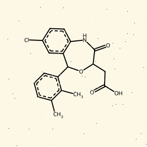 Cc1cccc(C2OC(CC(=O)O)C(=O)Nc3ccc(Cl)cc32)c1C